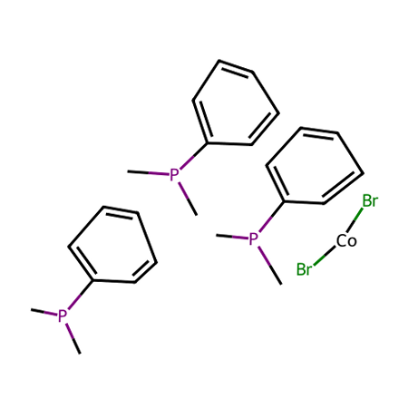 CP(C)c1ccccc1.CP(C)c1ccccc1.CP(C)c1ccccc1.[Br][Co][Br]